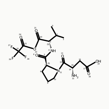 CC(C)[C@H](NC(=O)[C@@H]1CCCN1C(=O)[C@@H](N)CC(=O)O)C(=O)OC(=O)C(F)(F)F